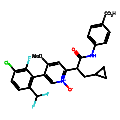 COc1cc(C(CC2CC2)C(=O)Nc2ccc(C(=O)O)cc2)[n+]([O-])cc1-c1c(C(F)F)ccc(Cl)c1F